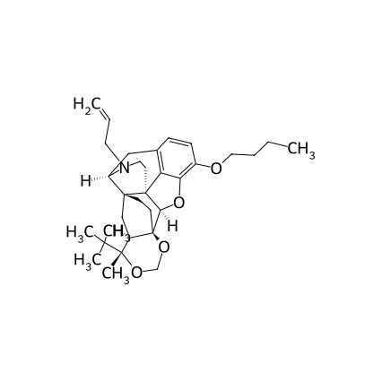 C=CCN1CC[C@]23c4c5ccc(OCCCC)c4O[C@H]2[C@@]24CC[C@@]3(C[C@@H]2[C@@](C)(C(C)(C)C)OCO4)[C@H]1C5